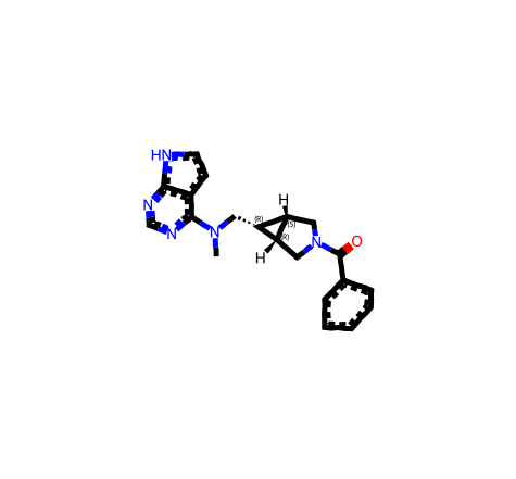 CN(C[C@@H]1[C@@H]2CN(C(=O)c3ccccc3)C[C@@H]21)c1ncnc2[nH]ccc12